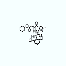 Cc1cc(C(=O)NCC(=O)OC2CCCCC2)c(NC(=O)Nc2c(Cl)cccc2Cl)s1